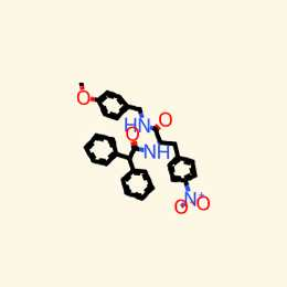 COc1ccc(CNC(=O)C(Cc2ccc([N+](=O)[O-])cc2)NC(=O)C(c2ccccc2)c2ccccc2)cc1